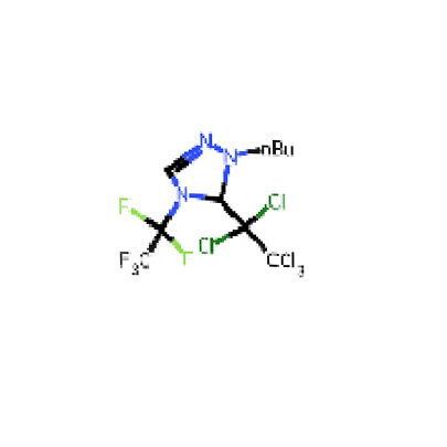 CCCCN1N=CN(C(F)(F)C(F)(F)F)C1C(Cl)(Cl)C(Cl)(Cl)Cl